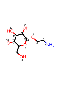 NCCO[C@@H]1OC(CO)[C@@H](O)C(O)C1O